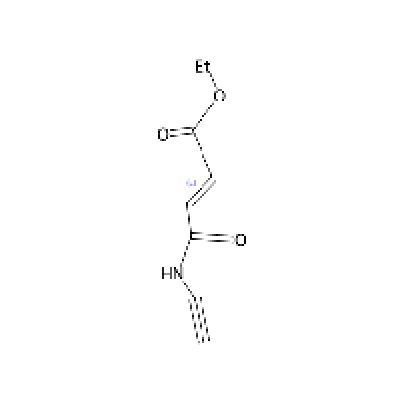 C#CNC(=O)/C=C/C(=O)OCC